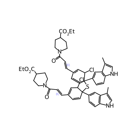 CCOC(=O)C1CCN(C(=O)/C=C/C2=CC(Cl)C(SC3(c4ccc5[nH]cc(C)c5c4)C=CC(/C=C/C(=O)N4CCC(C(=O)OCC)CC4)=CC3Cl)(c3ccc4[nH]cc(C)c4c3)C=C2)CC1